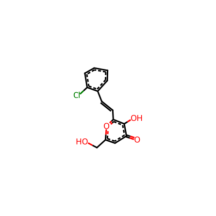 O=c1cc(CO)oc(C=Cc2ccccc2Cl)c1O